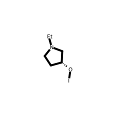 CCN1CC[C@@H](OI)C1